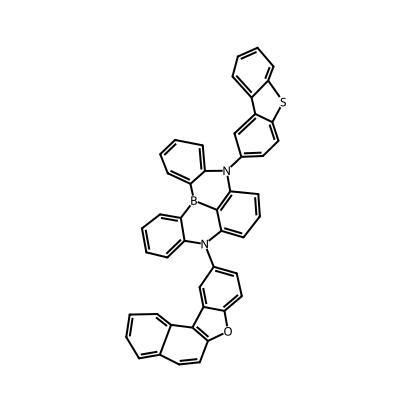 c1ccc2c(c1)B1c3ccccc3N(c3ccc4oc5ccc6ccccc6c5c4c3)c3cccc(c31)N2c1ccc2sc3ccccc3c2c1